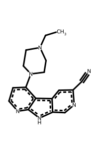 CCN1CCN(c2ccnc3[nH]c4cnc(C#N)cc4c23)CC1